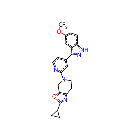 FC(F)(F)Oc1ccc2[nH]nc(-c3ccnc(N4CCc5nc(C6CC6)oc5C4)c3)c2c1